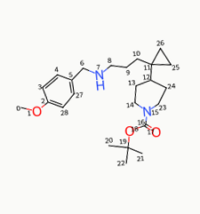 COc1ccc(CNCCCC2(C3CCN(C(=O)OC(C)(C)C)CC3)CC2)cc1